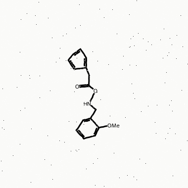 COc1ccccc1CNOC(=O)Cc1ccccc1